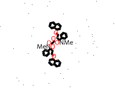 CNC(CCOc1cccc2ccccc12)(OC(=O)C(=O)OC(CCOc1cccc2ccccc12)(NC)c1ccccc1)c1ccccc1